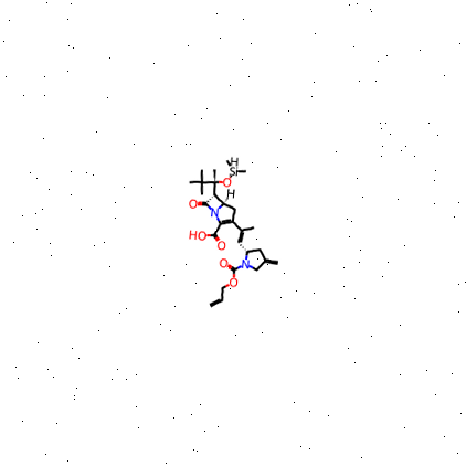 C=CCOC(=O)N1CC(=C)C[C@H]1/C=C(\C)C1=C(C(=O)O)N2C(=O)[C@H]([C@@](C)(O[SiH](C)C)C(C)(C)C)[C@H]2C1